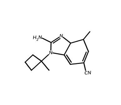 CC1C=C(C#N)C=C2C1N=C(N)N2C1(C)CCC1